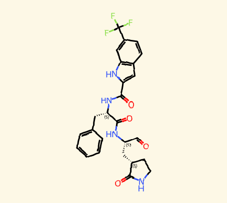 O=C[C@H](C[C@@H]1CCNC1=O)NC(=O)[C@H](Cc1ccccc1)NC(=O)c1cc2ccc(C(F)(F)F)cc2[nH]1